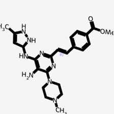 COC(=O)c1ccc(/C=C/c2nc(NC3C=C(C)NN3)c(N)c(N3CCN(C)CC3)n2)cc1